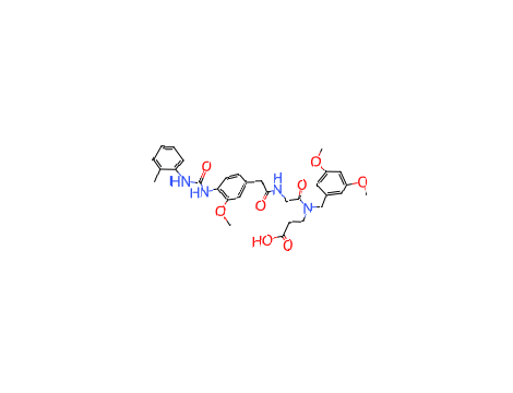 COc1cc(CN(CCC(=O)O)C(=O)CNC(=O)Cc2ccc(NC(=O)Nc3ccccc3C)c(OC)c2)cc(OC)c1